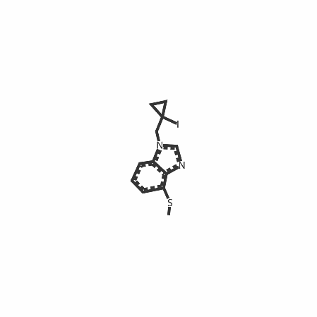 CSc1cccc2c1ncn2CC1(I)CC1